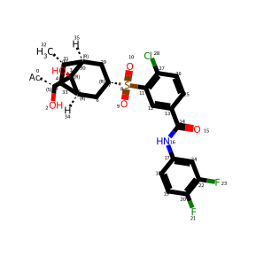 CC(=O)[C@@H](O)[C@@]1(O)[C@H]2C[C@@H](S(=O)(=O)c3cc(C(=O)Nc4ccc(F)c(F)c4)ccc3Cl)C[C@@H]1[C@@H](C)C2